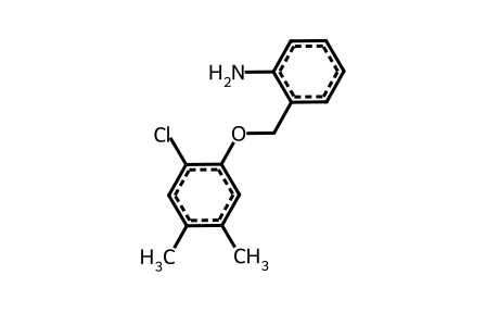 Cc1cc(Cl)c(OCc2ccccc2N)cc1C